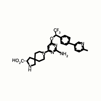 Cc1ccc(-c2ccc([C@@H](Oc3cc(N4CCC5(CC4)CN[C@H](C(=O)O)C5)nc(N)n3)C(F)(F)F)cc2)cn1